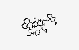 C=CC(=O)N1CCC(N(c2nc(OC[C@@]34CCCN3C[C@H](F)C4)nc3c(F)c(-c4cccc5cccc(Cl)c45)ncc23)C2CC2)C1